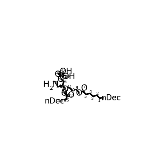 CCCCCCCCCCCCCCCC(=O)OC[C@H](COC(CN)COP(=O)(O)O)OC(=O)CCCCCCCCCCC